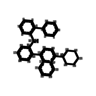 c1ccc(-c2ccccc2Nc2ccccc2-c2ccc(C3CCCCC3)c3ccccc23)cc1